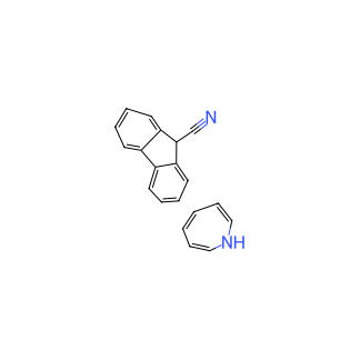 C1=CC=CNC=C1.N#CC1c2ccccc2-c2ccccc21